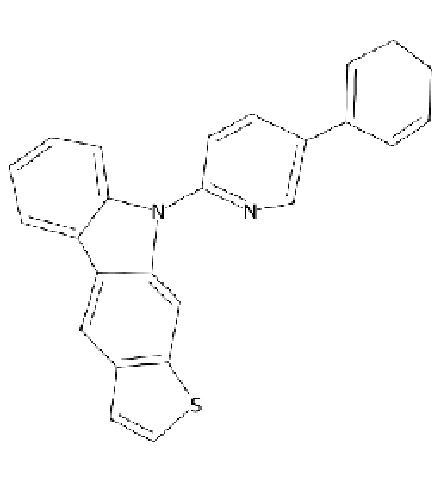 C1=CC(c2ccc(-n3c4ccccc4c4cc5ccsc5cc43)nc2)=CCC1